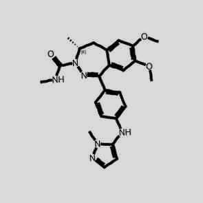 CNC(=O)N1N=C(c2ccc(Nc3ccnn3C)cc2)c2cc(OC)c(OC)cc2C[C@H]1C